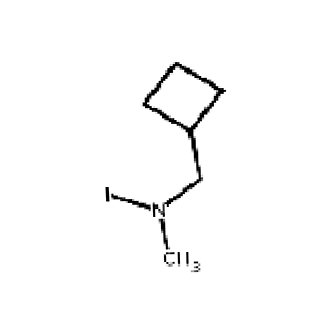 CN(I)CC1CCC1